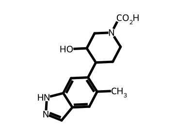 Cc1cc2cn[nH]c2cc1C1CCN(C(=O)O)CC1O